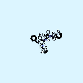 CCn1c(=O)/c(=c2\nc3c(o2)=CC=CN3C)s/c1=C1\S/C(=N\c2scc[n+]2C)N(Cc2ccccc2)C1=O